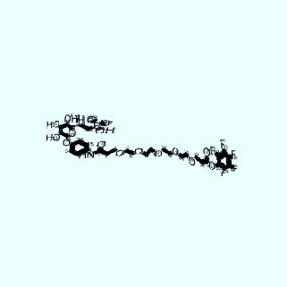 O=C(CCOCCOCCOCCOCCOCCC(=O)Oc1c(F)c(F)c(F)c(F)c1F)Nc1ccc(O[C@H]2O[C@H](CCP(=O)(O)O)[C@@H](O)[C@H](O)[C@@H]2O)cc1